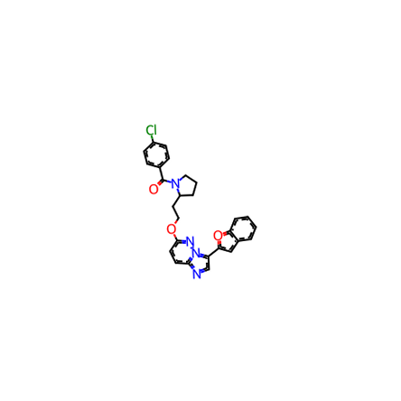 O=C(c1ccc(Cl)cc1)N1CCCC1CCOc1ccc2ncc(-c3cc4ccccc4o3)n2n1